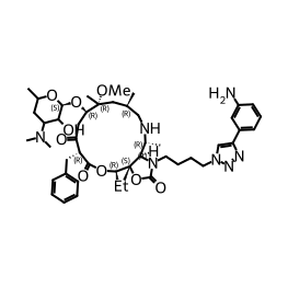 CC[C@H]1OC(=O)[C@H](Cc2ccccc2)C(=O)C[C@@H](O[C@@H]2OC(C)CC(N(C)C)C2O)[C@](C)(OC)C[C@@H](C)CN[C@H](C)[C@H]2N(CCCCn3cc(-c4cccc(N)c4)nn3)C(=O)O[C@]12C